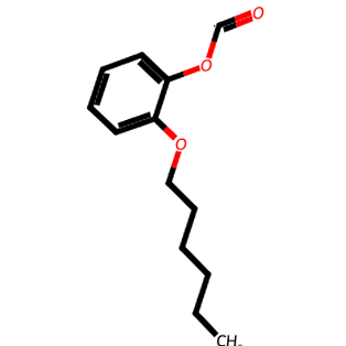 CCCCCCOc1ccccc1O[C]=O